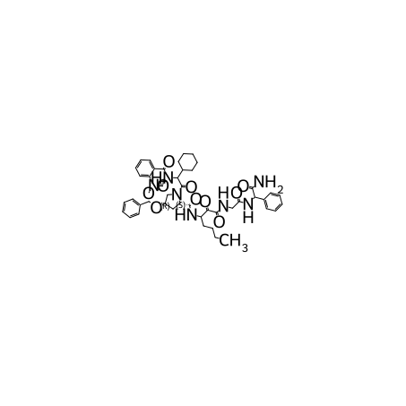 CCCCC(NC(=O)[C@@H]1C[C@@H](OCc2ccccc2)CN1C(=O)C(NC(=O)c1ccccc1[N+](=O)[O-])C1CCCCC1)C(=O)C(=O)NCC(=O)NC(C(N)=O)c1ccccc1